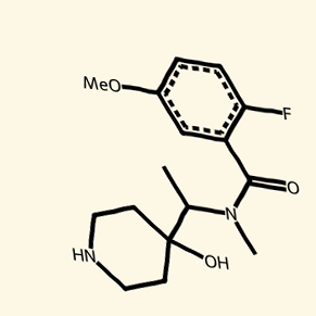 COc1ccc(F)c(C(=O)N(C)C(C)C2(O)CCNCC2)c1